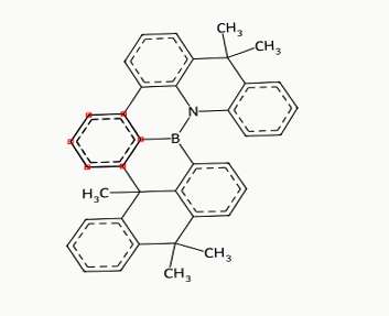 CC1(C)c2ccccc2N(B2c3ccccc3C3(C)c4ccccc4C(C)(C)c4cccc2c43)c2c(-c3ccccc3)cccc21